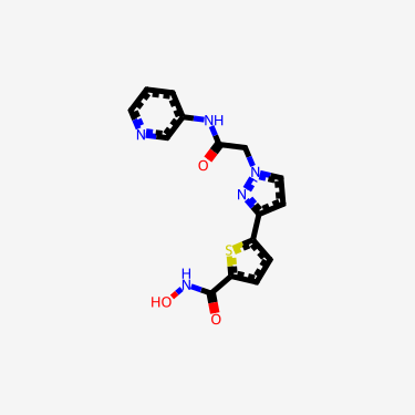 O=C(Cn1ccc(-c2ccc(C(=O)NO)s2)n1)Nc1cccnc1